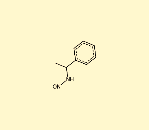 CC(NN=O)c1ccccc1